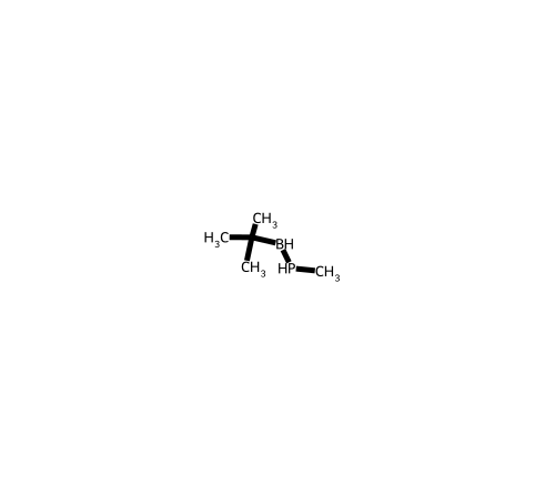 CPBC(C)(C)C